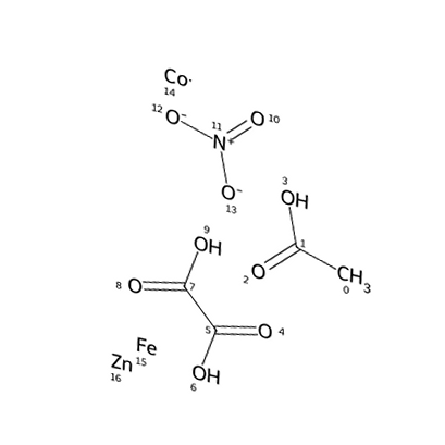 CC(=O)O.O=C(O)C(=O)O.O=[N+]([O-])[O-].[Co].[Fe].[Zn]